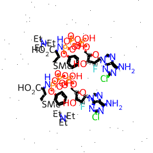 CCN(CC)CC.CCN(CC)CC.CSCCC(NP(=O)(Oc1ccccc1)OP(=O)(O)OP(=O)(O)OC[C@H]1O[C@@H](n2cnc3c(N)nc(Cl)nc32)[C@@H](F)[C@@H]1O)C(=O)O.CSCCC(NP(=O)(Oc1ccccc1)OP(=O)(O)OP(=O)(O)OC[C@H]1O[C@@H](n2cnc3c(N)nc(Cl)nc32)[C@@H](F)[C@@H]1O)C(=O)O